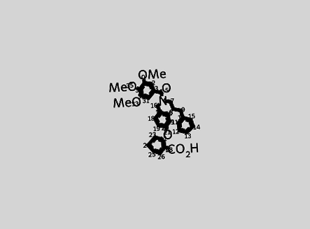 COc1cc(C(=O)N(CCCc2ccccc2)Cc2ccc(Oc3ccccc3C(=O)O)cc2)cc(OC)c1OC